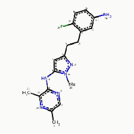 Cc1cnc(Nc2cc(CCc3cc(N)ccc3F)nn2C(C)(C)C)c(C)n1